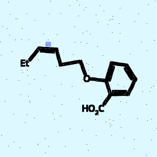 CC/C=C\CCOc1ccccc1C(=O)O